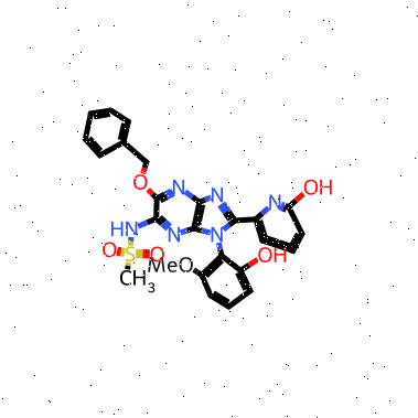 COc1cccc(O)c1-n1c(C2=C=C=CC(O)=N2)nc2nc(OCc3ccccc3)c(NS(C)(=O)=O)nc21